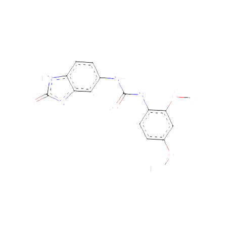 COc1ccc(NC(=O)Nc2ccc3[nH]c(=O)[nH]c3c2)c(OC)c1